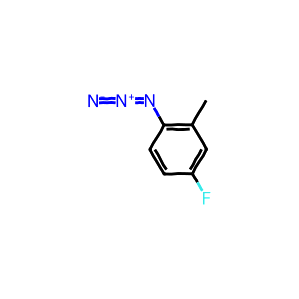 Cc1cc(F)ccc1N=[N+]=[N-]